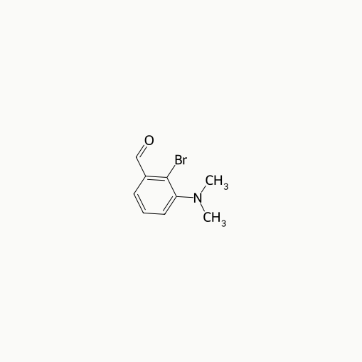 CN(C)c1cccc(C=O)c1Br